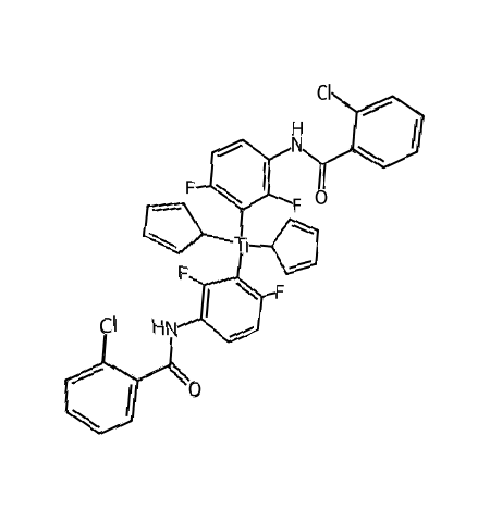 O=C(Nc1ccc(F)[c]([Ti]([c]2c(F)ccc(NC(=O)c3ccccc3Cl)c2F)([CH]2C=CC=C2)[CH]2C=CC=C2)c1F)c1ccccc1Cl